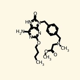 CCCCOc1nc(N)c2[nH]c(=O)n(Cc3ccc(CN(C)CC(=O)OC)cc3)c2n1